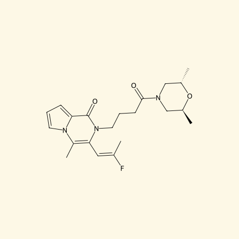 C/C(F)=C\c1c(C)n2cccc2c(=O)n1CCCC(=O)N1C[C@H](C)O[C@@H](C)C1